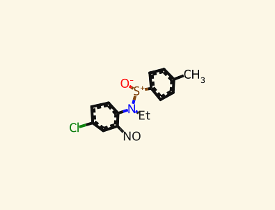 CCN(c1ccc(Cl)cc1N=O)[S+]([O-])c1ccc(C)cc1